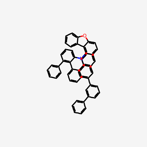 c1ccc(-c2cccc(-c3ccc(N(c4cccc(-c5ccccc5)c4-c4ccccc4-c4ccccc4)c4cccc5oc6ccccc6c45)cc3)c2)cc1